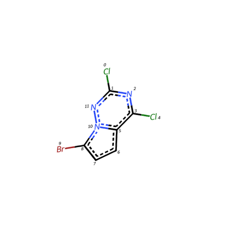 Clc1nc(Cl)c2ccc(Br)n2n1